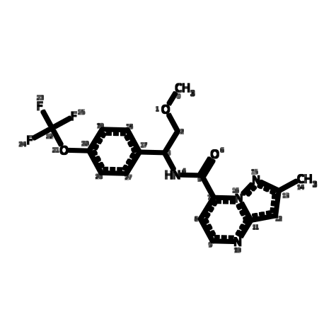 COCC(NC(=O)c1ccnc2cc(C)nn12)c1ccc(OC(F)(F)F)cc1